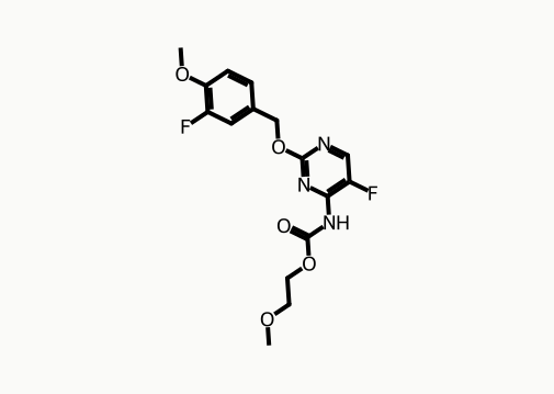 COCCOC(=O)Nc1nc(OCc2ccc(OC)c(F)c2)ncc1F